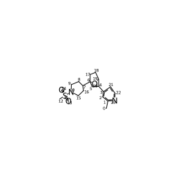 Cc1cc(C2CC3(C4CCN(S(C)(=O)=O)CC4)CCC2O3)ccn1